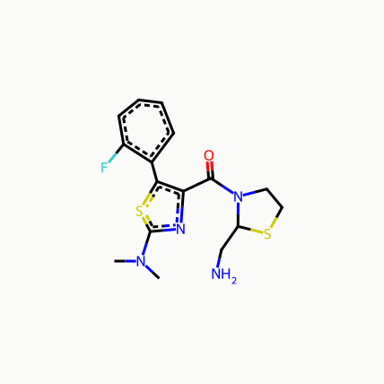 CN(C)c1nc(C(=O)N2CCSC2CN)c(-c2ccccc2F)s1